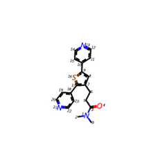 CN(C)C(=O)CCc1cc(-c2ccncc2)sc1-c1ccncc1